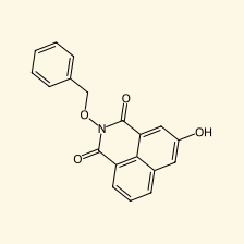 O=C1c2cccc3cc(O)cc(c23)C(=O)N1OCc1ccccc1